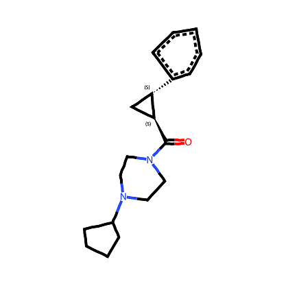 O=C([C@H]1C[C@@H]1c1ccccc1)N1CCN(C2CCCC2)CC1